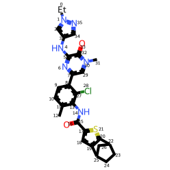 CCn1cc(Nc2nc(-c3ccc(C)c(NC(=O)c4cc5c(s4)C4CCC5C4)c3Cl)cn(C)c2=O)cn1